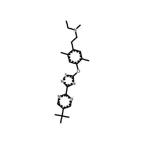 CCN(C)CCc1cc(C)c(Oc2nc(-c3ncc(C(C)(C)C)cn3)ns2)cc1C